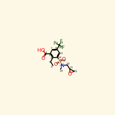 CCc1c(C(=O)O)cc(C(F)(F)F)cc1S(=O)(=O)N(C)CC1CO1